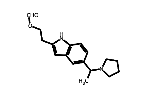 CC(c1ccc2[nH]c(CCOC=O)cc2c1)N1CCCC1